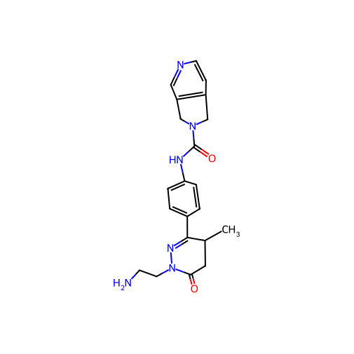 CC1CC(=O)N(CCN)N=C1c1ccc(NC(=O)N2Cc3ccncc3C2)cc1